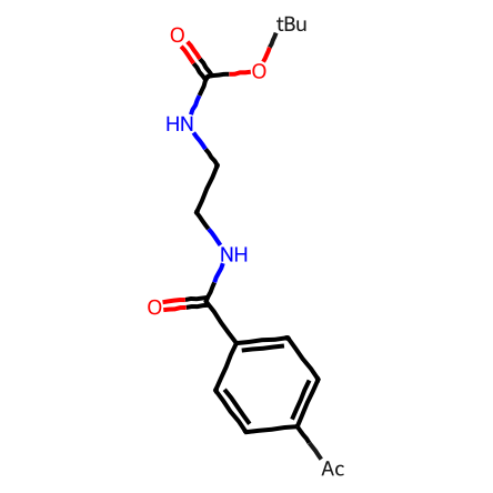 CC(=O)c1ccc(C(=O)NCCNC(=O)OC(C)(C)C)cc1